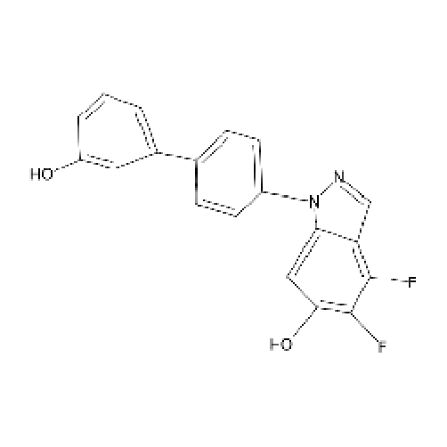 Oc1cccc(-c2ccc(-n3ncc4c(F)c(F)c(O)cc43)cc2)c1